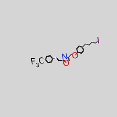 FC(F)(F)c1ccc(/C=C/c2nc(COc3ccc(CCCCI)cc3)co2)cc1